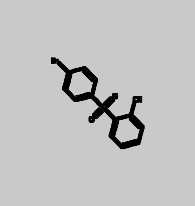 N#Cc1ccccc1S(=O)(=O)c1ccc(Br)cc1